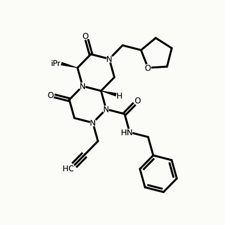 C#CCN1CC(=O)N2[C@@H](C(C)C)C(=O)N(CC3CCCO3)C[C@@H]2N1C(=O)NCc1ccccc1